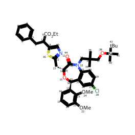 CCOC(=O)C(Cc1ccccc1)c1cnc(C[C@H]2O[C@H](c3cccc(OC)c3OC)c3cc(Cl)ccc3N(CC(C)(C)CO[Si](C)(C)C(C)(C)C)C2=O)s1